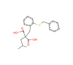 CC(C)CC(Cc1ccccc1SCc1ccccc1)(C(=O)O)C(=O)O